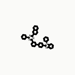 c1ccc(-c2nc(-c3cccc(-c4ccc(-c5nc6ccccc6n5-c5ccccc5)cc4)c3)nc(-c3ccc4ccccc4c3)n2)cc1